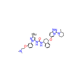 C[C@H]1CCCCN1c1nnc2ccc(O[C@H]3CC[C@H](NC(=O)Nc4cc(C(C)(C)C)nn4-c4cccc(OCCN(C)C)c4)c4ccccc43)cn12